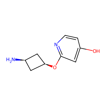 N[C@H]1C[C@@H](Oc2cc(O)ccn2)C1